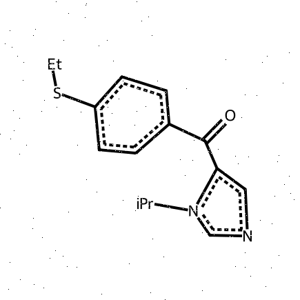 CCSc1ccc(C(=O)c2cncn2C(C)C)cc1